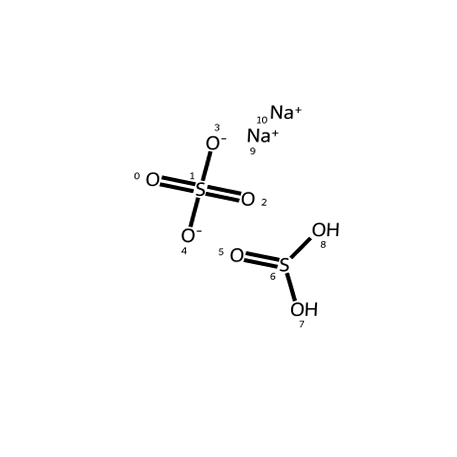 O=S(=O)([O-])[O-].O=S(O)O.[Na+].[Na+]